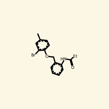 CCC(=O)Nc1ccccc1COc1ccc(C)cc1Br